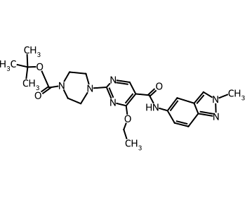 CCOc1nc(N2CCN(C(=O)OC(C)(C)C)CC2)ncc1C(=O)Nc1ccc2nn(C)cc2c1